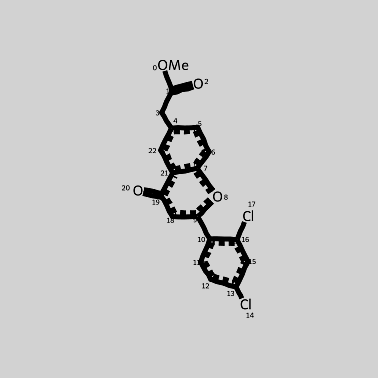 COC(=O)Cc1ccc2oc(-c3ccc(Cl)cc3Cl)cc(=O)c2c1